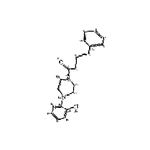 O=C(CCCc1ccccc1)N1CCN(c2ncccc2Cl)CC1